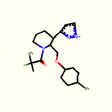 CCCC(C)(F)C(=O)N1CCCC(c2cc[nH]n2)C1COC1CCC(C(C)C)CC1